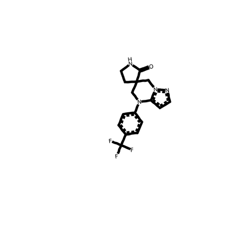 O=C1NCCC12CN(c1ccc(C(F)(F)F)cc1)c1ccnn1C2